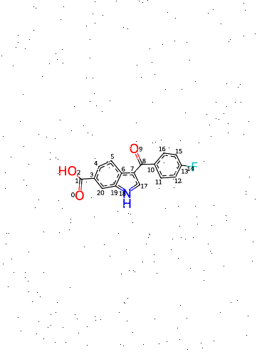 O=C(O)c1ccc2c(C(=O)c3ccc(F)cc3)c[nH]c2c1